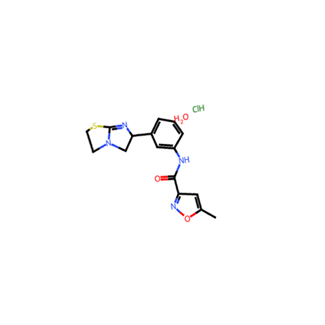 Cc1cc(C(=O)Nc2cccc(C3CN4CCSC4=N3)c2)no1.Cl.O